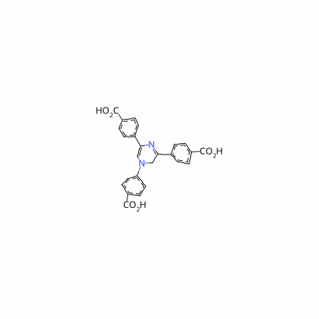 O=C(O)c1ccc(C2=CN(c3ccc(C(=O)O)cc3)CC(c3ccc(C(=O)O)cc3)=N2)cc1